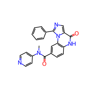 CN(C(=O)c1ccc2[nH]c(=O)c3cnc(-c4ccccc4)n3c2c1)c1ccncc1